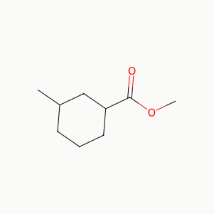 COC(=O)C1CCCC(C)C1